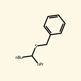 CCCCC(CCC)SCc1ccccc1